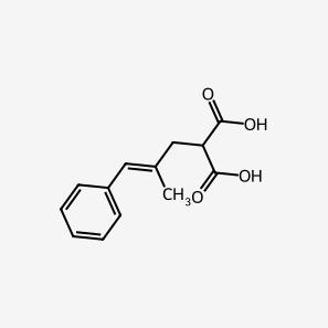 C/C(=C\c1ccccc1)CC(C(=O)O)C(=O)O